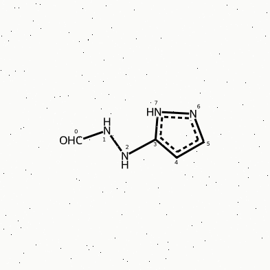 O=CNNc1ccn[nH]1